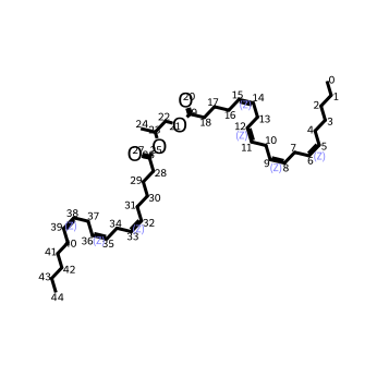 CCCCC/C=C\C/C=C\C/C=C\C/C=C\CCCC(=O)OCC(C)OC(=O)CCCC/C=C\C/C=C\C/C=C\CCCCC